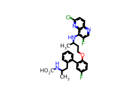 CC(Cc1ccccc1-c1cc(F)ccc1OCCC(C)Nc1c(F)cnc2ccc(Cl)nc12)NC(=O)O